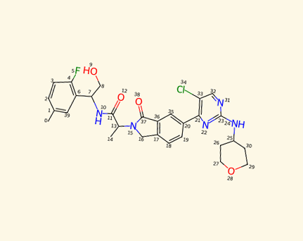 Cc1ccc(F)c(C(CO)NC(=O)C(C)N2Cc3ccc(-c4nc(NC5CCOCC5)ncc4Cl)cc3C2=O)c1